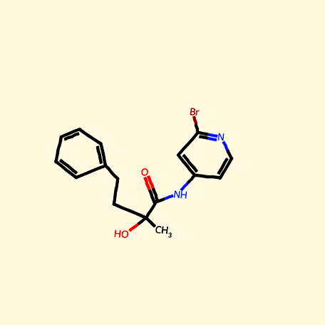 CC(O)(CCc1ccccc1)C(=O)Nc1ccnc(Br)c1